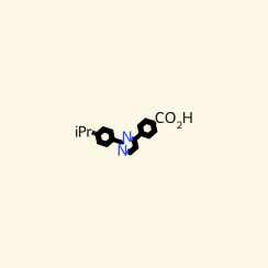 CC(C)c1ccc(-c2nccc(-c3ccc(C(=O)O)cc3)n2)cc1